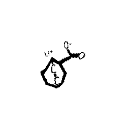 O=C([O-])C1CC2CCC1CC2.[Li+]